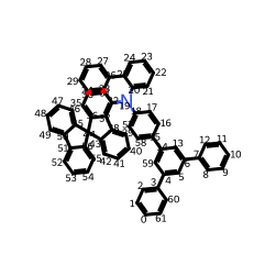 c1ccc(-c2cc(-c3ccccc3)cc(-c3ccc(N(c4ccccc4-c4ccccc4)c4cccc5c4-c4ccccc4C54c5ccccc5-c5ccccc54)cc3)c2)cc1